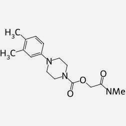 CNC(=O)COC(=O)N1CCN(c2ccc(C)c(C)c2)CC1